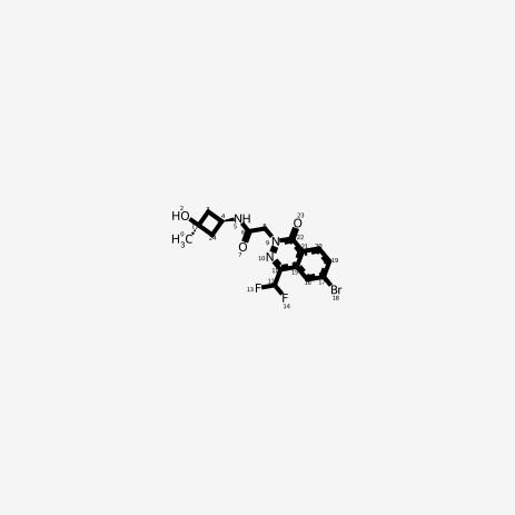 C[C@]1(O)C[C@@H](NC(=O)Cn2nc(C(F)F)c3cc(Br)ccc3c2=O)C1